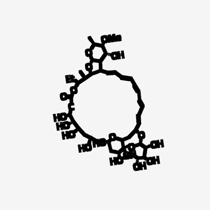 CCC1OC(=O)CC(O)[C@@H](O)[C@H](O)C[C@H](O)C[C@]2(O)C[C@H](O)[C@](C)(O)C(CC(O[C@@H]3O[C@H](C)[C@@H](O)[C@H](O)[C@@H]3O)/C=C/C=C/C=C/C=C/C=C/C(C)C(O[C@H]3C[C@@H](O)[C@@H](OC)[C@H](C)O3)C1C)O2